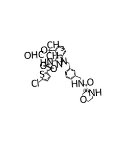 CC(C)(OC=O)c1cccc2c1c(NS(=O)(=O)c1ccc(Cl)s1)nn2Cc1cccc(CNC(=O)[C@H]2COCCN2)c1